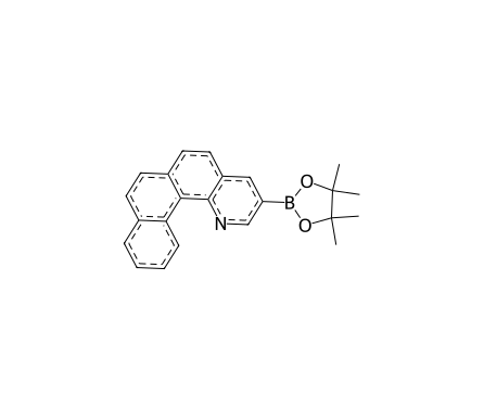 CC1(C)OB(c2cnc3c(ccc4ccc5ccccc5c43)c2)OC1(C)C